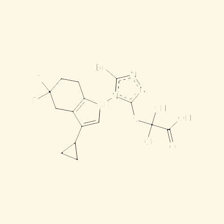 CC(C)(Sc1nnc(Br)n1[SH]1C=C(C2CC2)C2=C1CCC(F)(F)C2)C(=O)O